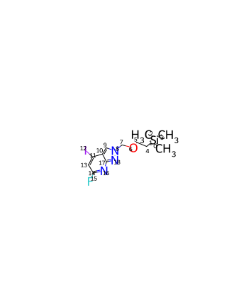 C[Si](C)(C)CCOCn1cc2c(I)cc(F)nc2n1